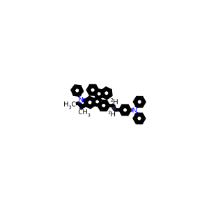 [2H]/C(=C(/[2H])c1ccc2c(c1)C1(c3ccccc3-c3ccccc31)c1cc3c(cc1-2)c(C)c(C)n3-c1ccccc1)c1ccc(N(c2ccccc2)c2ccccc2)cc1